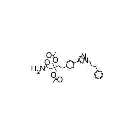 CC(=O)OCC(CCc1ccc(-c2cnn(CCCc3ccccc3)c2)cc1)(COC(C)=O)CC(N)=O